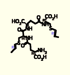 C/C=C/SC[C@H](NC(=O)CC[C@H](NC(=O)[C@H](CS/C=C/C)NC(=O)CC[C@H](N)C(=O)O)C(=O)O)C(=O)O